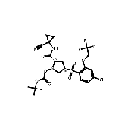 CC(C)(C)OC(=O)ON1C[C@H](S(=O)(=O)c2ccc(Cl)cc2OCC(F)(F)F)C[C@H]1C(=O)NC1(C#N)CC1